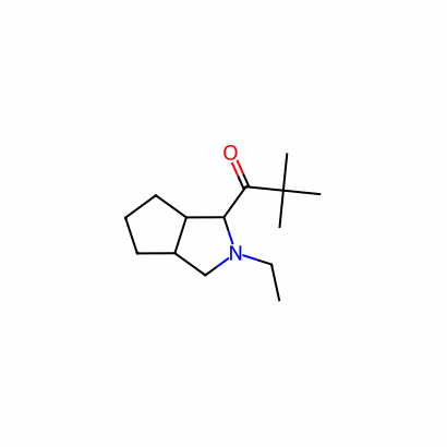 CCN1CC2CCCC2C1C(=O)C(C)(C)C